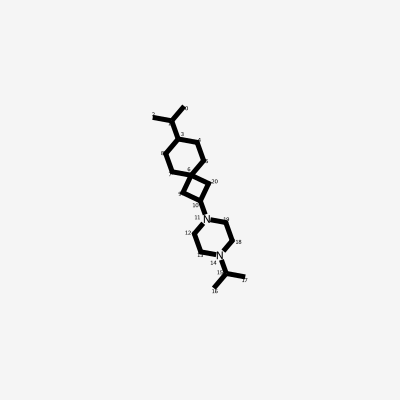 CC(C)C1CCC2(CC1)CC(N1CCN(C(C)C)CC1)C2